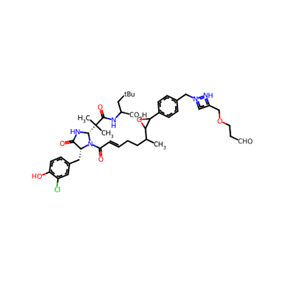 CC(CC/C=C/C(=O)N1[C@H](Cc2ccc(O)c(Cl)c2)C(=O)N[C@@H]1C(C)(C)C(=O)NC(CC(C)(C)C)C(=O)O)C1OC1c1ccc(Cn2cc(COCCC=O)[nH]2)cc1